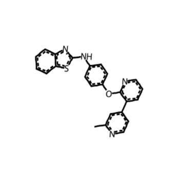 Cc1cc(-c2cccnc2Oc2ccc(Nc3nc4ccccc4s3)cc2)ccn1